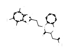 O=C(O)CC1Sc2ccccc2N(CCc2nc3c(F)c(F)cc(F)c3s2)C1=O